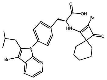 CC(C)Cc1c(Br)c2cccnc2n1-c1ccc(C[C@H](NC2=C(Br)C(=O)C23CCCCC3)C(=O)O)cc1